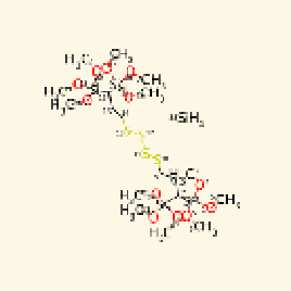 CO[Si](OC)(OC)C(CCSSSSCCC([Si](OC)(OC)OC)[Si](OC)(OC)OC)[Si](OC)(OC)OC.[SiH4]